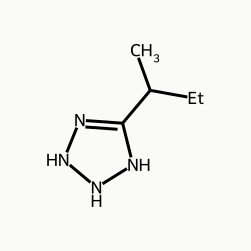 CCC(C)C1=NNNN1